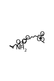 C=C1CC1CC(N)C(=O)Oc1ccc(OCCCCCCC2(C(=O)OCC)CO2)cc1